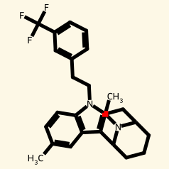 CCN1C2CCCC1c1c(n(CCc3cccc(C(F)(F)F)c3)c3ccc(C)cc13)C2